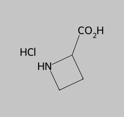 Cl.O=C(O)C1CCN1